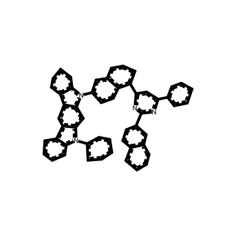 c1ccc(-c2cc(-c3cccc4cc(-n5c6ccccc6c6cc7c8ccccc8n(-c8ccccc8)c7cc65)ccc34)nc(-c3ccc4ccccc4c3)n2)cc1